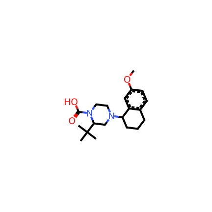 COc1ccc2c(c1)C(N1CCN(C(=O)O)C(C(C)(C)C)C1)CCC2